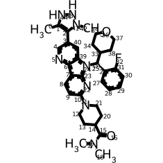 CC1=C(c2cnc3c4ccc(N5CCC(C(=O)N(C)C)CC5)nc4n([C@H](c4ccccc4F)C4CCOCC4)c3c2)N(C)NN1